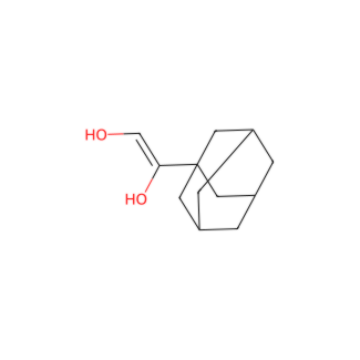 OC=C(O)C12CC3CC(CC(C3)C1)C2